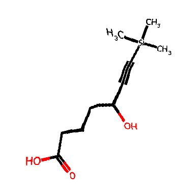 C[Si](C)(C)C#CC(O)CCCC(=O)O